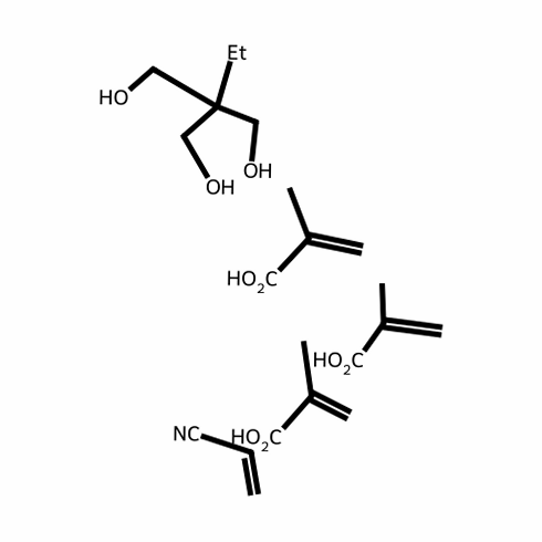 C=C(C)C(=O)O.C=C(C)C(=O)O.C=C(C)C(=O)O.C=CC#N.CCC(CO)(CO)CO